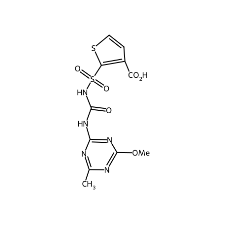 COc1nc(C)nc(NC(=O)NS(=O)(=O)c2sccc2C(=O)O)n1